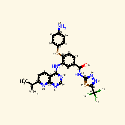 CC(C)c1ccc2c(Nc3cc(C(=O)Nc4nnc(C(F)(F)F)s4)ccc3Sc3ccc(N)cc3)ncnc2n1